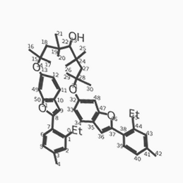 CCc1cc(C)ccc1-c1cc2ccc(OC(C)(C)CC(C)(C)C(O)C(C)(C)CC(C)(C)Oc3ccc4cc(-c5ccc(C)cc5CC)oc4c3)cc2o1